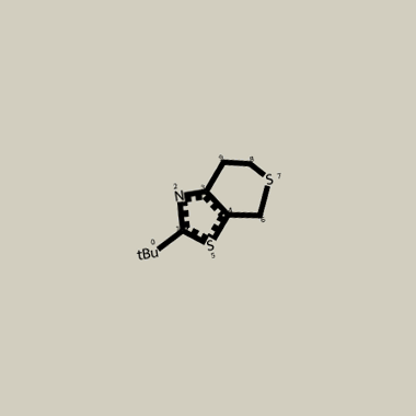 CC(C)(C)c1nc2c(s1)CSCC2